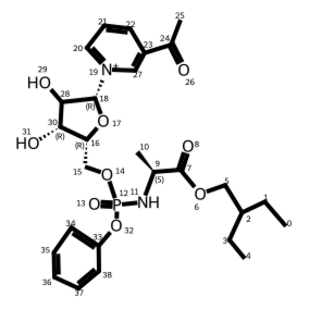 CCC(CC)COC(=O)[C@H](C)NP(=O)(OC[C@H]1O[C@@H]([n+]2cccc(C(C)=O)c2)C(O)[C@H]1O)Oc1ccccc1